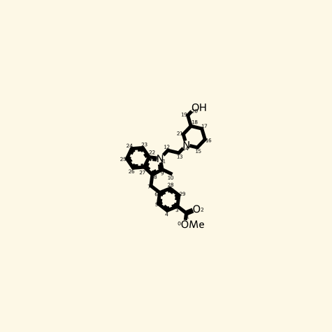 COC(=O)c1ccc(Cc2c(C)n(CCN3CCCC(CO)C3)c3ccccc23)cc1